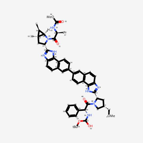 COC[C@H]1C[C@@H](c2nc3ccc4cc(-c5ccc6c(ccc7nc([C@@H]8C[C@H]9[C@@H](C)[C@H]9N8C(=O)[C@@H](NC(=O)OC)C(C)C)[nH]c76)c5)ccc4c3[nH]2)N(C(=O)[C@H](NC(O)OC(C)(C)C)c2ccccc2)C1